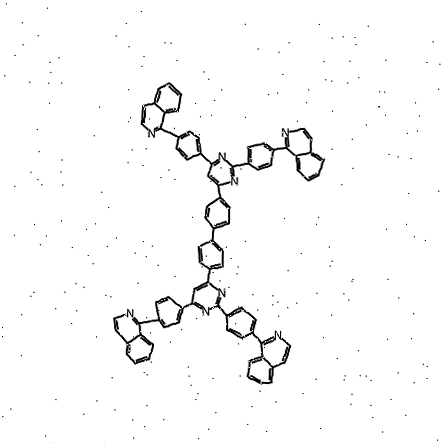 c1ccc2c(-c3ccc(-c4cc(-c5ccc(-c6ccc(-c7cc(-c8ccc(-c9nccc%10ccccc9%10)cc8)nc(-c8ccc(-c9nccc%10ccccc9%10)cc8)n7)cc6)cc5)nc(-c5ccc(-c6nccc7ccccc67)cc5)n4)cc3)nccc2c1